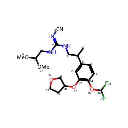 COC(CN/C(=N/C#N)NCC(C)c1ccc(OC(F)F)c(OC2CCOC2)c1)OC